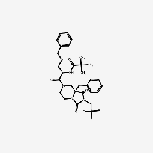 CC(C)(N)C(=O)N[C@H](COCc1ccccc1)C(=O)N1CCN2C(=O)N(CC(F)(F)F)C(=O)[C@@]2(Cc2ccccc2)C1